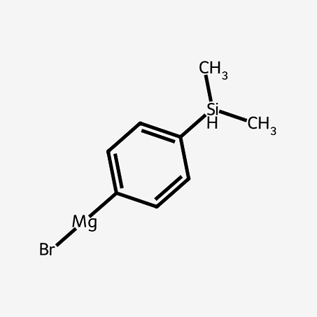 C[SiH](C)c1cc[c]([Mg][Br])cc1